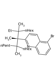 CCCCCCC(C)(CC)[C@](C)(c1ccc2c(Br)cccc2n1)C(C)(CCCCC)CCCCCC